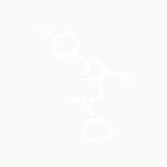 Cc1oc(-c2ccc(Cl)cc2)nc1CC(=O)N1CCOCC1